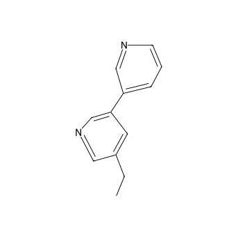 CCc1cncc(-c2cccnc2)c1